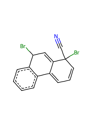 N#CC1(Br)C=CC=C2C1=CC(Br)c1ccccc12